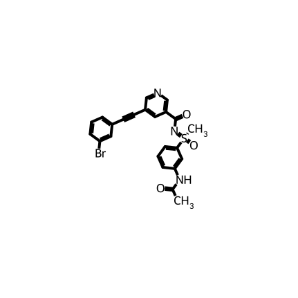 CC(=O)Nc1cccc(S(C)(=O)=NC(=O)c2cncc(C#Cc3cccc(Br)c3)c2)c1